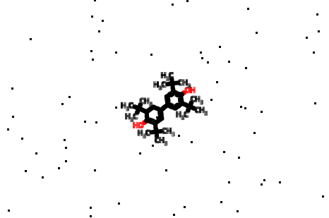 CC(C)(C)C1=C(O)C(C(C)(C)C)CC(c2cc(C(C)(C)C)c(O)c(C(C)(C)C)c2)=C1